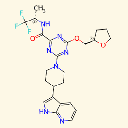 C[C@H](NC(=O)c1nc(OC[C@H]2CCCO2)nc(N2CCC(c3c[nH]c4ncccc34)CC2)n1)C(F)(F)F